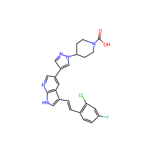 O=C(O)N1CCC(n2cc(-c3cnc4[nH]cc(/C=C/c5ccc(F)cc5Cl)c4c3)cn2)CC1